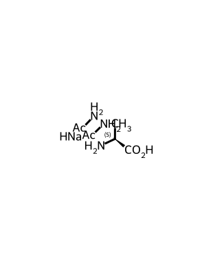 CC(N)=O.CC(N)=O.C[C@H](N)C(=O)O.[NaH]